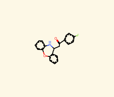 O=C(CC1Nc2ccccc2Oc2ccccc21)c1ccc(F)cc1